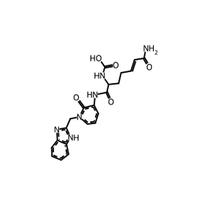 NC(=O)/C=C/CCC(NC(=O)O)C(=O)Nc1cccn(Cc2nc3ccccc3[nH]2)c1=O